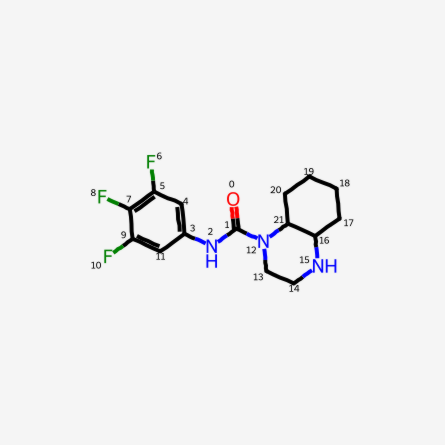 O=C(Nc1cc(F)c(F)c(F)c1)N1CCNC2CCCCC21